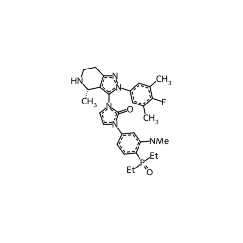 CCP(=O)(CC)c1ccc(-n2ccn(-c3c4c(nn3-c3cc(C)c(F)c(C)c3)CCN[C@H]4C)c2=O)cc1NC